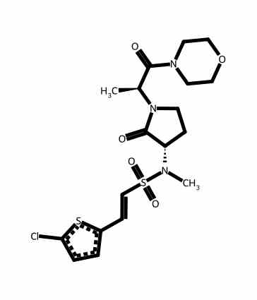 C[C@@H](C(=O)N1CCOCC1)N1CC[C@H](N(C)S(=O)(=O)C=Cc2ccc(Cl)s2)C1=O